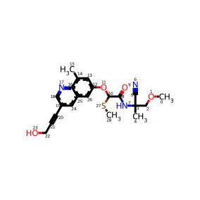 COCC(C)(C#N)NC(=O)C(Oc1cc(C)c2ncc(C#CCO)cc2c1)SC